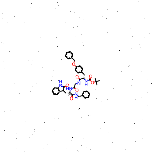 CC(C)(C)OC(=O)N[C@@H](Cc1ccc(OCc2ccccc2)cc1)C(=O)NCC(=O)N[C@@H](CC1C(=O)Nc2ccccc21)C(=O)NCc1ccccc1